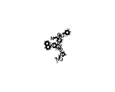 CN(C)C(=O)CN1CCC[C@H]1COc1nc2c(c(N3CCN(C(=O)OCc4ccccc4)C(CC#N)C3)n1)CCN(c1cccc3ccccc13)C2